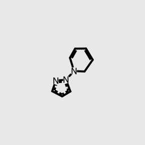 C1=CCN(n2cccn2)C=C1